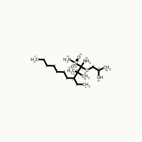 CCCCCCCC(CC)C(C)(C)C(N)(OCC(C)O)S(N)(=O)=O